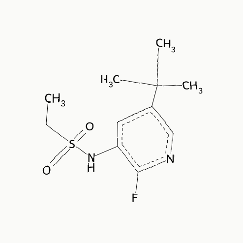 CCS(=O)(=O)Nc1cc(C(C)(C)C)cnc1F